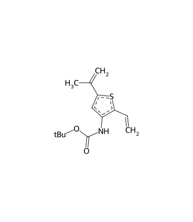 C=Cc1sc(C(=C)C)cc1NC(=O)OC(C)(C)C